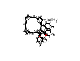 CN1C=CC(c2c(C3=CCN(C)C=C3)c3c(C4=CCN(C)C=C4)c4nc(cc5ccc(cc6nc(cc2n3C2=CCN(C)C=C2)C=C6)[nH]5)C=C4)=CC1.[SnH2]